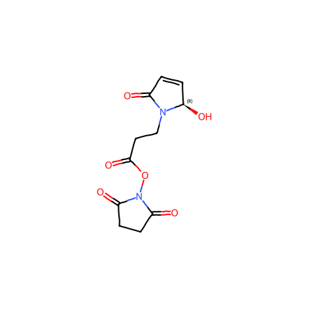 O=C(CCN1C(=O)C=C[C@H]1O)ON1C(=O)CCC1=O